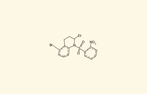 CCC1CCc2c(Br)cccc2N1S(=O)(=O)c1ccccc1[N+](=O)[O-]